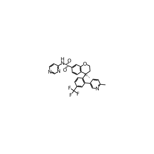 Cc1ccc(-c2cc(C(F)(F)F)ccc2[C@]2(C)CCOc3cc(S(=O)(=O)Nc4ccncn4)ccc32)cn1